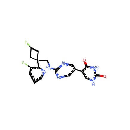 O=c1[nH]cc(-c2cnc(NC[C@]3(c4ncccc4F)C[C@H](F)C3)nc2)c(=O)[nH]1